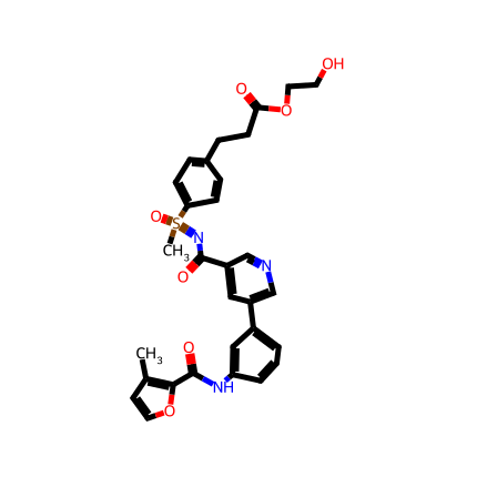 Cc1ccoc1C(=O)Nc1cccc(-c2cncc(C(=O)N=S(C)(=O)c3ccc(CCC(=O)OCCO)cc3)c2)c1